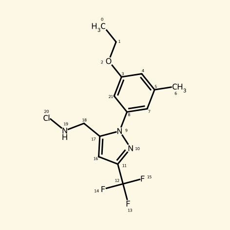 CCOc1cc(C)cc(-n2nc(C(F)(F)F)cc2CNCl)c1